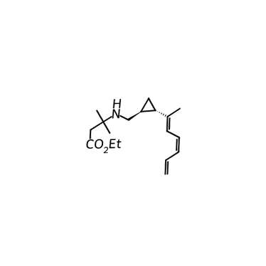 C=C/C=C\C=C(/C)[C@H]1C[C@@H]1CNC(C)(C)CC(=O)OCC